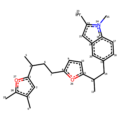 Cc1cc(C(C)CCc2ccc(C(C)Cc3ccc4c(c3)cc(C(C)C)n4C)o2)oc1C